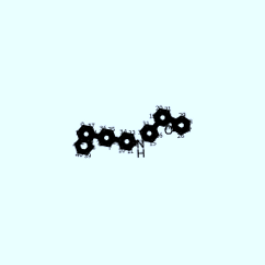 c1cc2c(c(-c3ccc(-c4ccc(Nc5ccc(-c6cccc7c6oc6ccccc67)cc5)cc4)cc3)c1)CCCC2